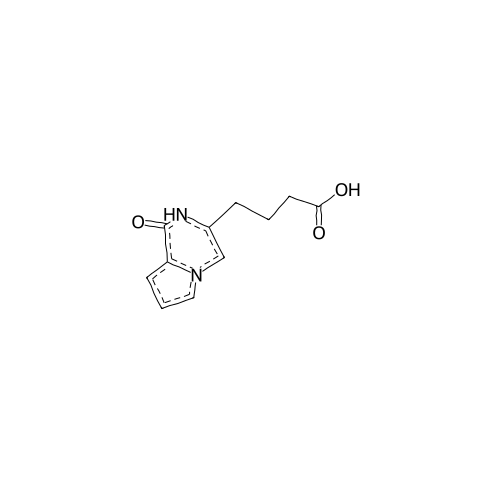 O=C(O)CCCc1cn2cccc2c(=O)[nH]1